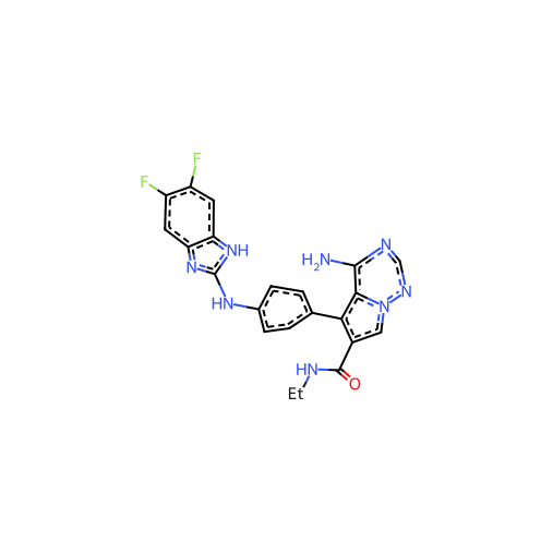 CCNC(=O)c1cn2ncnc(N)c2c1-c1ccc(Nc2nc3cc(F)c(F)cc3[nH]2)cc1